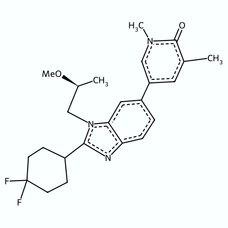 CO[C@@H](C)Cn1c(C2CCC(F)(F)CC2)nc2ccc(-c3cc(C)c(=O)n(C)c3)cc21